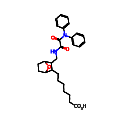 O=C(O)CCCCCCC1C2CCC(O2)C1CNC(=O)C(=O)N(c1ccccc1)c1ccccc1